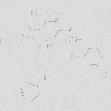 Cc1cc(F)c(CNC(=O)c2cn3c(c(O)c2=O)C(=O)N2C[C@@H]3[C@@]3(CC[C@@H]2C)OC[C@@H](Cc2ccccc2)O3)c(F)c1